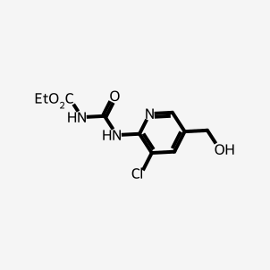 CCOC(=O)NC(=O)Nc1ncc(CO)cc1Cl